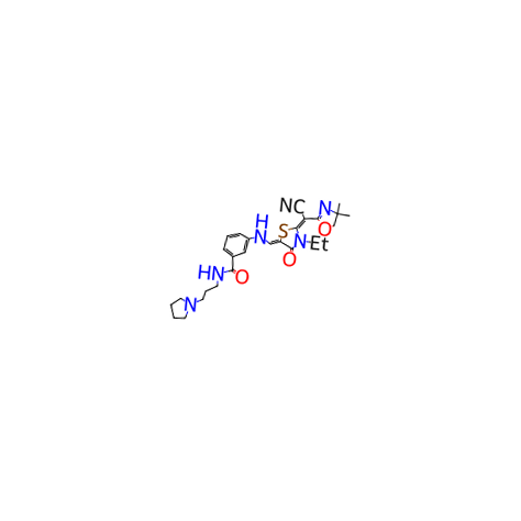 CCn1c(=C(C#N)C2=NC(C)(C)CO2)sc(=CNc2cccc(C(=O)NCCCN3CCCC3)c2)c1=O